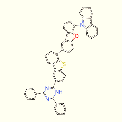 c1ccc(C2=NC(c3ccccc3)NC(c3ccc4sc5c(-c6ccc7oc8c(-n9c%10ccccc%10c%10ccccc%109)cccc8c7c6)cccc5c4c3)=N2)cc1